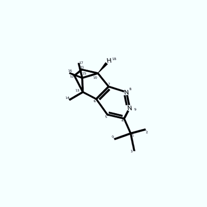 CC(C)(C)c1cc2c(nn1)[C@H]1CCC2(C)C1(C)C